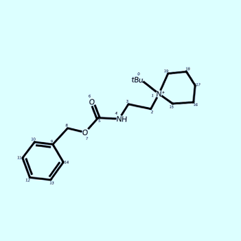 CC(C)(C)[N+]1(CCNC(=O)OCc2ccccc2)CC[CH]CC1